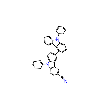 N#Cc1ccc2c(c1)c1cc(-c3cccc4c3c3ccccc3n4-c3ccccc3)ccc1n2-c1ccccc1